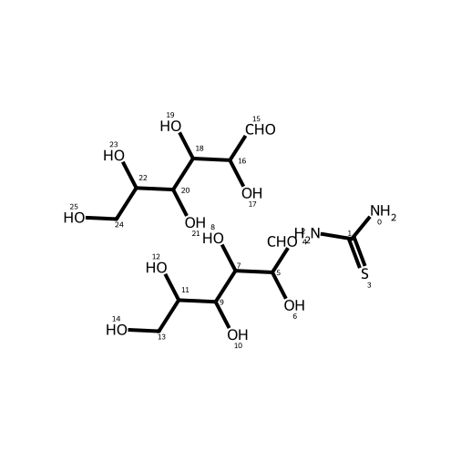 NC(N)=S.O=CC(O)C(O)C(O)C(O)CO.O=CC(O)C(O)C(O)C(O)CO